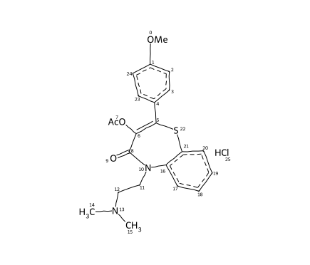 COc1ccc(C2=C(OC(C)=O)C(=O)N(CCN(C)C)c3ccccc3S2)cc1.Cl